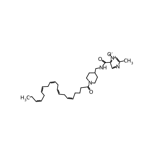 CC/C=C\C/C=C\C/C=C\C/C=C\C/C=C\CCCC(=O)N1CCC(CNC(=O)c2cnc(C)c[n+]2[O-])CC1